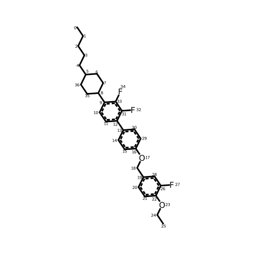 CCCCCC1CCC(c2ccc(-c3ccc(OCc4ccc(OCC)c(F)c4)cc3)c(F)c2F)CC1